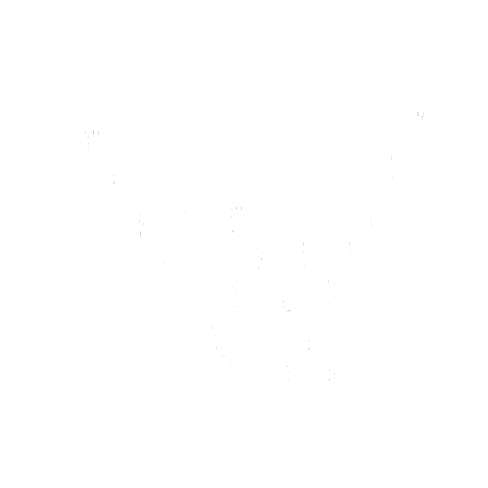 CCCCCCCCC(OCc1ccccc1)c1ccc(C(C)Cc2ccc(OCOC)cc2O)c(OCOC)c1O